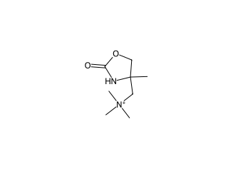 CC1(C[N+](C)(C)C)COC(=O)N1